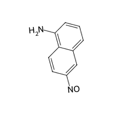 Nc1cccc2cc(N=O)ccc12